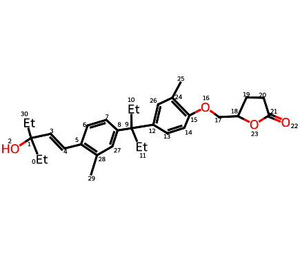 CCC(O)(C=Cc1ccc(C(CC)(CC)c2ccc(OCC3CCC(=O)O3)c(C)c2)cc1C)CC